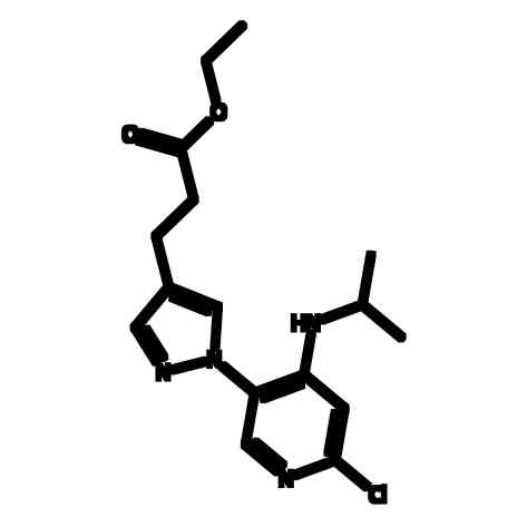 CCOC(=O)CCc1cnn(-c2cnc(Cl)cc2NC(C)C)c1